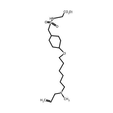 C=CCN(C)CCCCCCOC1CCC(CS(=O)(=O)NCC(=O)OCC)CC1